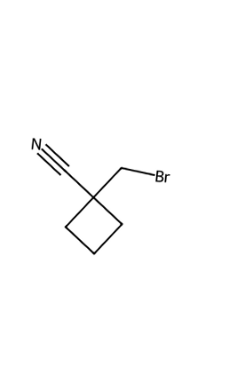 N#CC1(CBr)CCC1